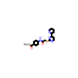 COC(=O)c1ccc(NC(=O)CSc2nccc(-c3ccccn3)n2)cc1